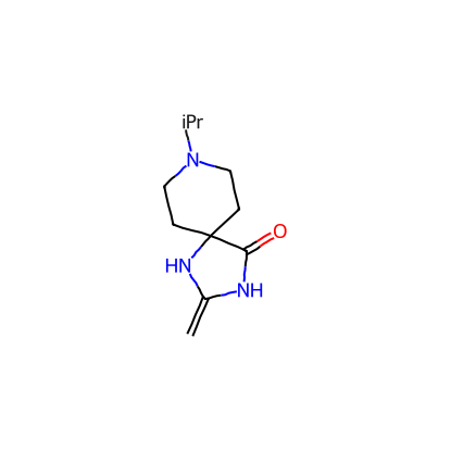 C=C1NC(=O)C2(CCN(C(C)C)CC2)N1